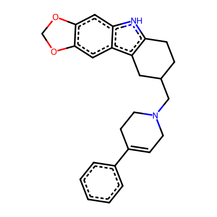 C1=C(c2ccccc2)CCN(CC2CCc3[nH]c4cc5c(cc4c3C2)OCO5)C1